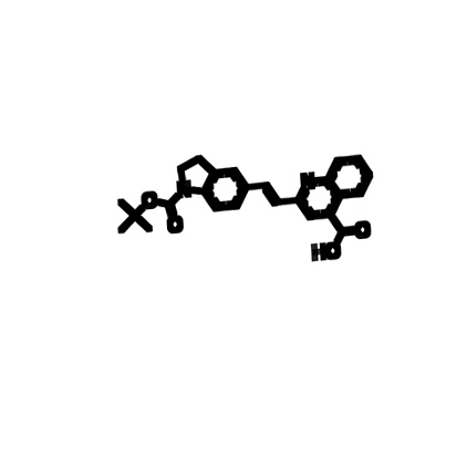 CC(C)(C)OC(=O)N1CCc2cc(C=Cc3cc(C(=O)O)c4ccccc4n3)ccc21